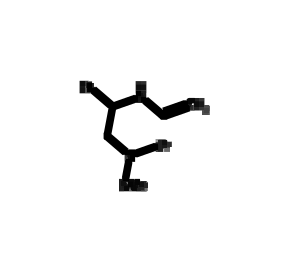 C=CNC(CC)CN(NC)C(C)C